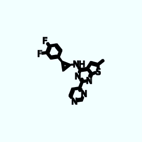 Cc1cc2c(N[C@@H]3C[C@H]3c3ccc(F)c(F)c3)nc(-c3ccncn3)nc2s1